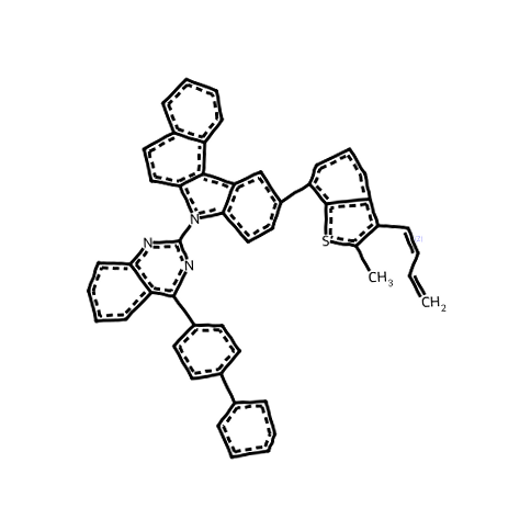 C=C/C=C\c1c(C)sc2c(-c3ccc4c(c3)c3c5ccccc5ccc3n4-c3nc(-c4ccc(-c5ccccc5)cc4)c4ccccc4n3)cccc12